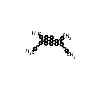 Cc1ccc(/C=C/c2ccc(N(c3ccc(C)cc3)c3ccc(-c4c5ccccc5c(-c5c6ccccc6c(N(c6ccc(C)cc6)c6ccc(/C=C/c7ccc(C)cc7)cc6)c6ccccc56)c5ccccc45)c4ccccc34)cc2)cc1